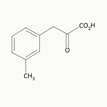 Cc1cccc(CC(=O)C(=O)O)c1